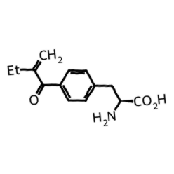 C=C(CC)C(=O)c1ccc(C[C@H](N)C(=O)O)cc1